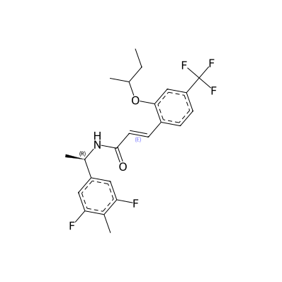 CCC(C)Oc1cc(C(F)(F)F)ccc1/C=C/C(=O)N[C@H](C)c1cc(F)c(C)c(F)c1